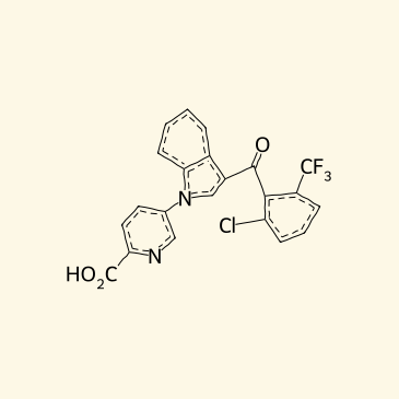 O=C(O)c1ccc(-n2cc(C(=O)c3c(Cl)cccc3C(F)(F)F)c3ccccc32)cn1